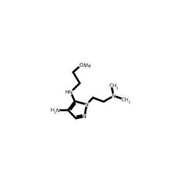 COCCNc1c(N)cnn1CCN(C)C